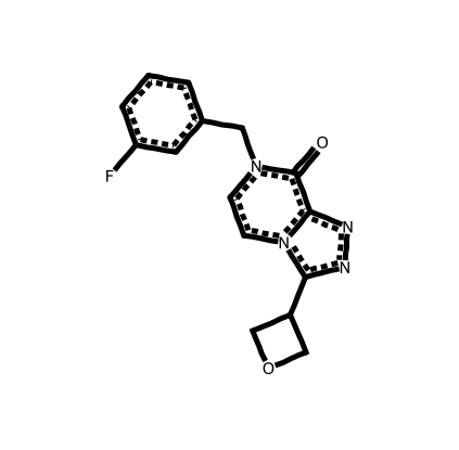 O=c1c2nnc(C3COC3)n2ccn1Cc1cccc(F)c1